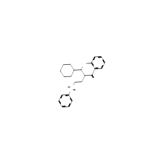 O=C1c2ccccc2OC(C2CCCCC2)C1CCS(=O)(=O)c1ccccc1